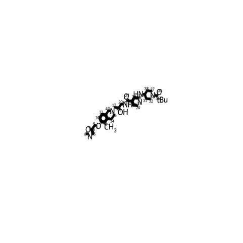 Cc1c(OCc2cnco2)ccc2c1CCN(C[C@@H](O)CNC(=O)c1ccnc(NC3CCN(C(=O)C(C)(C)C)CC3)c1)C2